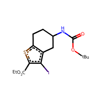 CCOC(=O)c1sc2c(c1I)CC(NC(=O)OC(C)(C)C)CC2